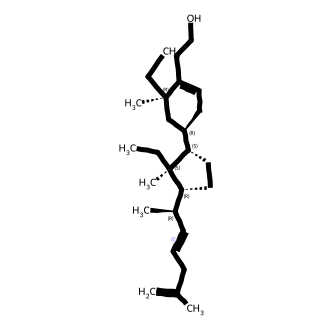 C=C(C)C/C=C/[C@@H](C)[C@H]1CC[C@@H]([C@@H]2CC=C(CCO)[C@](C)(CC)C2)[C@]1(C)CC